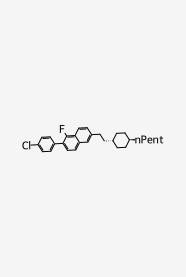 CCCCC[C@H]1CC[C@H](CCc2ccc3c(F)c(-c4ccc(Cl)cc4)ccc3c2)CC1